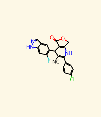 N#CC1=C(c2ccc(Cl)cc2)NC2=C(C(=O)OC2)C1c1cc2cn[nH]c2cc1F